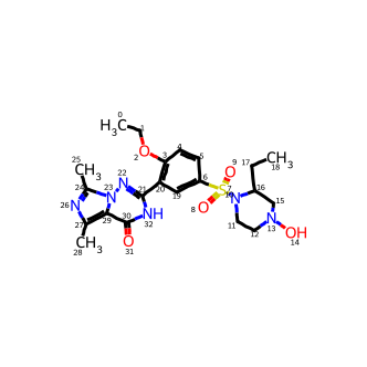 CCOc1ccc(S(=O)(=O)N2CCN(O)CC2CC)cc1-c1nn2c(C)nc(C)c2c(=O)[nH]1